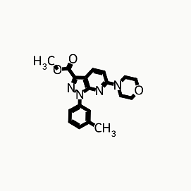 COC(=O)c1nn(-c2cccc(C)c2)c2nc(N3CCOCC3)ccc12